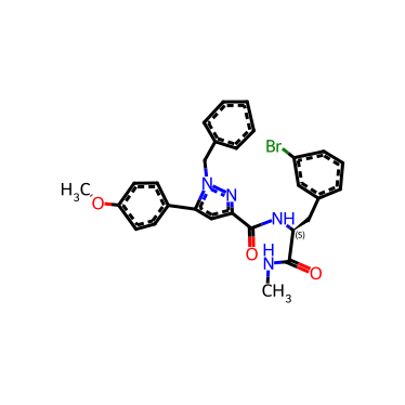 CNC(=O)[C@H](Cc1cccc(Br)c1)NC(=O)c1cc(-c2ccc(OC)cc2)n(Cc2ccccc2)n1